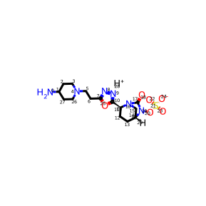 NC1CCN(CCc2nnc([C@@H]3CC[C@@H]4CN3C(=O)N4OS(=O)(=O)[O-])o2)CC1.[H+]